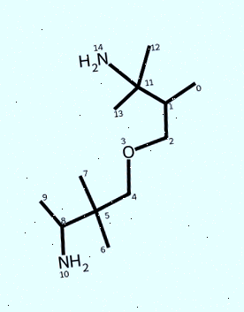 CC(COCC(C)(C)C(C)N)C(C)(C)N